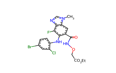 CCOC(=O)CONC(=O)c1cc2c(ncn2C)c(F)c1Nc1ccc(Br)cc1Cl